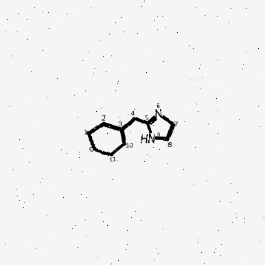 C1CCC(CC2=NCCN2)CC1